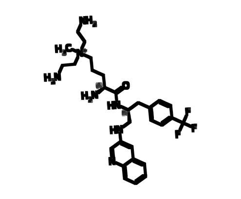 C[N+](CCN)(CCN)CCC[C@H](N)C(=O)N[C@H](CNc1cnc2ccccc2c1)Cc1ccc(C(F)(F)F)cc1